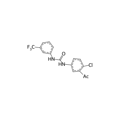 CC(=O)c1cc(NC(=O)Nc2cccc(C(F)(F)F)c2)ccc1Cl